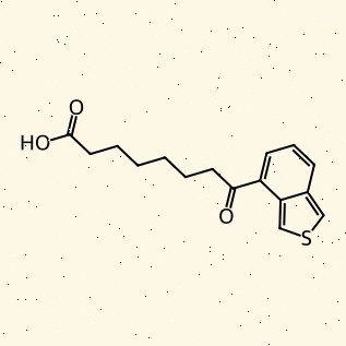 O=C(O)CCCCCCC(=O)c1cccc2cscc12